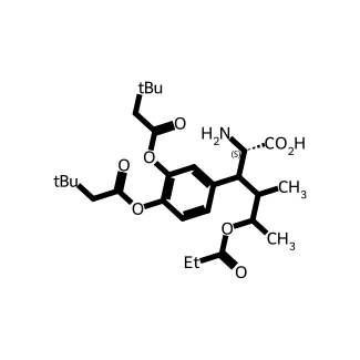 CCC(=O)OC(C)C(C)C(c1ccc(OC(=O)CC(C)(C)C)c(OC(=O)CC(C)(C)C)c1)[C@H](N)C(=O)O